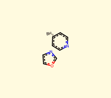 B.c1ccncc1.c1cocn1